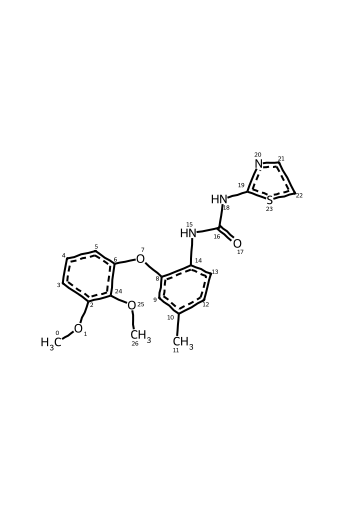 COc1cccc(Oc2cc(C)ccc2NC(=O)Nc2nccs2)c1OC